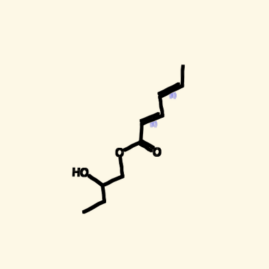 C/C=C/C=C/C(=O)OCC(O)CC